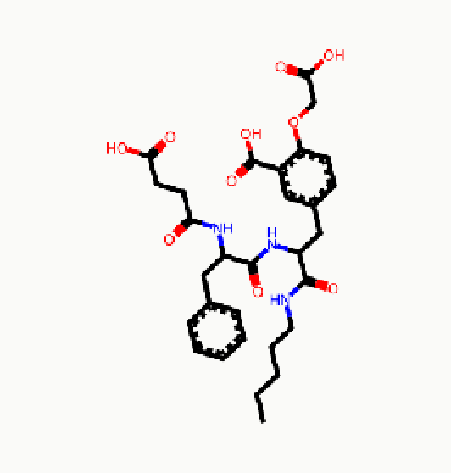 CCCCCNC(=O)C(Cc1ccc(OCC(=O)O)c(C(=O)O)c1)NC(=O)C(Cc1ccccc1)NC(=O)CCC(=O)O